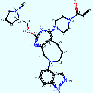 C=CC(=O)N1CCN(c2nc(OC[C@@H]3CCCN3C)nc3c2CCCN(c2cccc4[nH]ncc24)C3)CC1